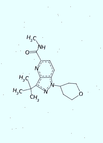 CNC(=O)c1ccc2c(n1)c(C(C)(C)C)nn2C1CCOCC1